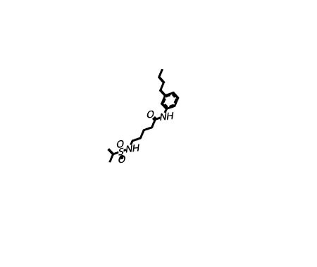 CCCCc1cccc(NC(=O)CCCCNS(=O)(=O)C(C)C)c1